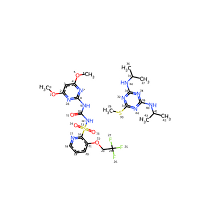 COc1cc(OC)nc(NC(=O)NS(=O)(=O)c2ncccc2OCC(F)(F)F)n1.CSc1nc(NC(C)C)nc(NC(C)C)n1